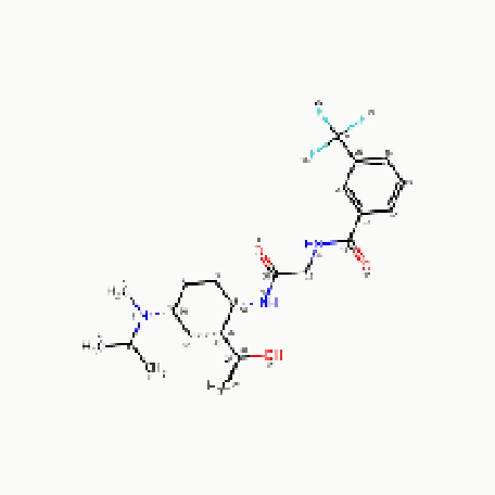 CC(C)N(C)[C@@H]1CC[C@H](NC(=O)CNC(=O)c2cccc(C(F)(F)F)c2)[C@H]([C@H](C)O)C1